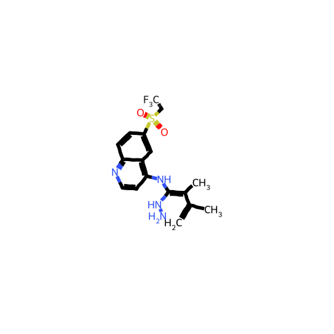 C=C(C)/C(C)=C(\NN)Nc1ccnc2ccc(S(=O)(=O)CC(F)(F)F)cc12